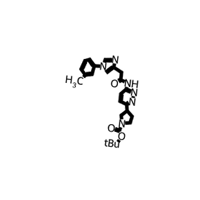 Cc1cccc(-n2cnc(CC(=O)Nc3ccc(C4CCN(C(=O)OC(C)(C)C)C4)nn3)c2)c1